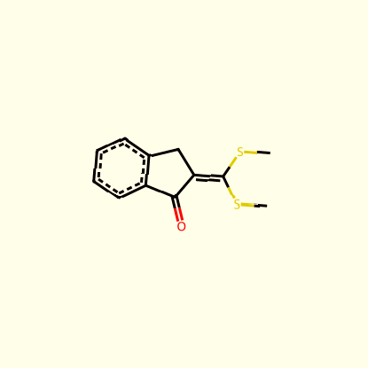 CSC(SC)=C1Cc2ccccc2C1=O